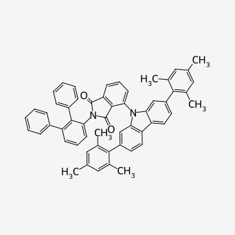 Cc1cc(C)c(-c2ccc3c4ccc(-c5c(C)cc(C)cc5C)cc4n(-c4cccc5c4C(=O)N(c4cccc(-c6ccccc6)c4-c4ccccc4)C5=O)c3c2)c(C)c1